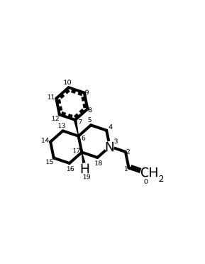 C=CCN1CC[C@@]2(c3ccccc3)CCCC[C@H]2C1